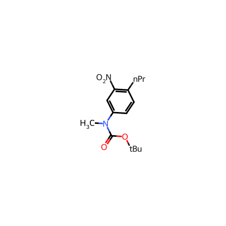 CCCc1ccc(N(C)C(=O)OC(C)(C)C)cc1[N+](=O)[O-]